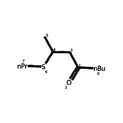 CCCCC(=O)CC(C)SCCC